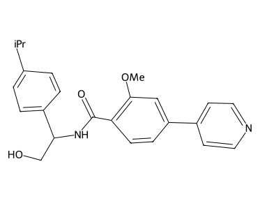 COc1cc(-c2ccncc2)ccc1C(=O)NC(CO)c1ccc(C(C)C)cc1